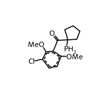 COc1ccc(Cl)c(OC)c1C(=O)C1(P)CCCC1